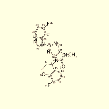 Cn1c(=O)n(C2CCOc3c(F)cccc32)c2nc(-n3cnc4ccc(F)cc43)ncc21